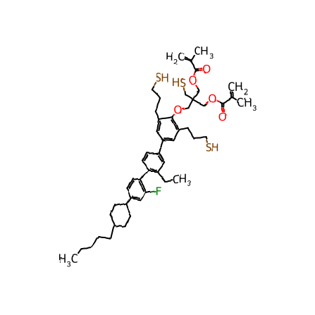 C=C(C)C(=O)OCC(CS)(COC(=O)C(=C)C)COc1c(CCCS)cc(-c2ccc(-c3ccc(C4CCC(CCCCC)CC4)cc3F)c(CC)c2)cc1CCCS